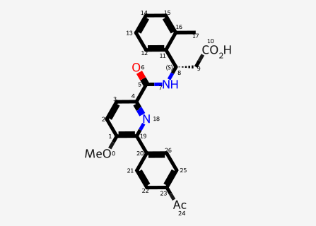 COc1ccc(C(=O)N[C@@H](CC(=O)O)c2ccccc2C)nc1-c1ccc(C(C)=O)cc1